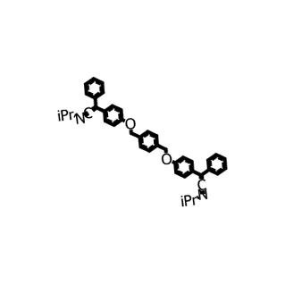 CC(C)N=C=C(c1ccccc1)c1ccc(OCc2ccc(COc3ccc(C(=C=NC(C)C)c4ccccc4)cc3)cc2)cc1